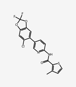 Cc1ccsc1C(=O)Nc1ccc(-c2cc3c(cc2Cl)OC(F)(F)O3)cn1